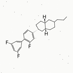 CCCC1CC[C@@H]2C[C@H](c3ccc(-c4cc(F)cc(F)c4)c(F)c3)CC[C@@H]2C1